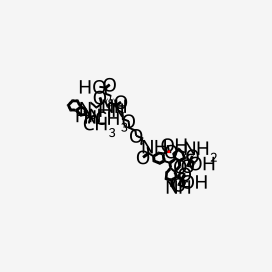 CNN(C)c1cc2ccccc2n1CCC(=O)N[C@@H](CCC(=O)O)C(=O)NCCOCCOCCNC(=O)c1ccc(-c2c3ccc(=N)c(S(=O)(=O)O)c-3oc3c(S(=O)(=O)O)c(N)ccc23)c(C(=O)O)c1